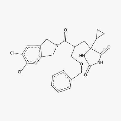 O=C1NC(=O)C(CC(COCc2ccccc2)C(=O)N2Cc3cc(Cl)c(Cl)cc3C2)(C2CC2)N1